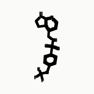 O=S(=O)(NCc1ccnc2c1CCN2)c1ccc(OC(F)(F)F)cc1